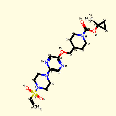 C=CS(=O)(=O)N1CCN(c2cnc(OCC3CCN(C(=O)OC4(C)CC4)CC3)cn2)CC1